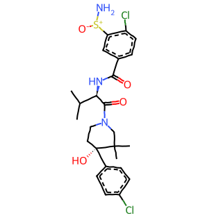 CC(C)[C@@H](NC(=O)c1ccc(Cl)c([S+](N)[O-])c1)C(=O)N1CC[C@](O)(c2ccc(Cl)cc2)C(C)(C)C1